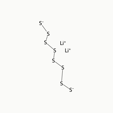 [Li+].[Li+].[S-]SSSSSS[S-]